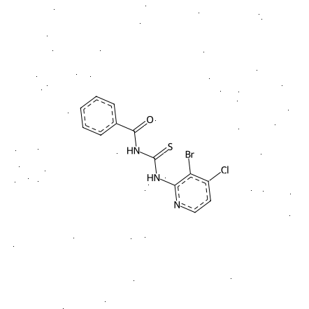 O=C(NC(=S)Nc1nccc(Cl)c1Br)c1ccccc1